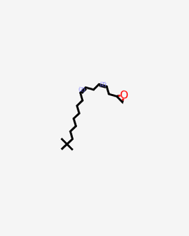 CC(C)(C)CCCCCCC/C=C\C/C=C\CC1CO1